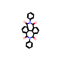 O=c1c2cccc3c(=O)n(-c4ccccc4)c(=O)c4cccc(c(=O)n1-c1ccccc1)c4c23